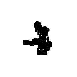 C=CCN(CC(=O)NC(Cc1ccc(OC(C)(C)C)cc1)C(=O)N[C@H](c1cccc2ccccc12)[C@H](C)C(OCC)OCC)NC(=O)NCc1ccccc1